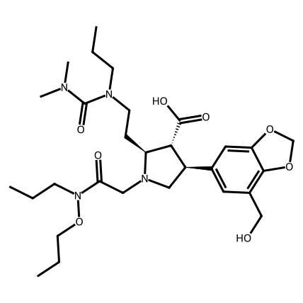 CCCON(CCC)C(=O)CN1C[C@H](c2cc(CO)c3c(c2)OCO3)[C@@H](C(=O)O)[C@@H]1CCN(CCC)C(=O)N(C)C